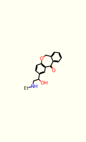 CCNCC(O)c1ccc2c(c1)C(=O)c1ccccc1CO2